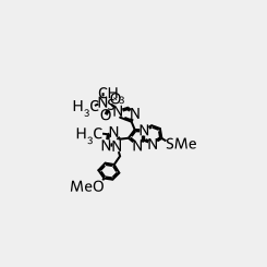 COc1ccc(Cn2nc(C)nc2-c2nc3nc(SC)ccn3c2-c2cn(S(=O)(=O)N(C)C)cn2)cc1